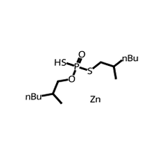 CCCCC(C)COP(=O)(S)SCC(C)CCCC.[Zn]